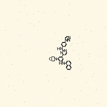 c1ccc2c(Nc3cc(-c4ccnc(Nc5ccc(-n6ccnn6)cc5)n4)cc(N4CCOCC4)c3)cccc2c1